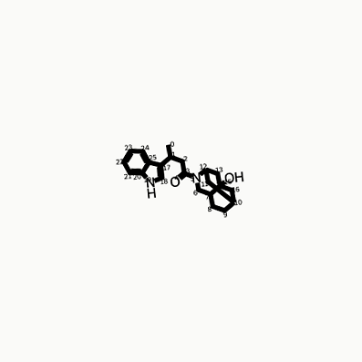 CC(CC(=O)N1CC2CCC3CC1CC2(O)C3)c1c[nH]c2ccccc12